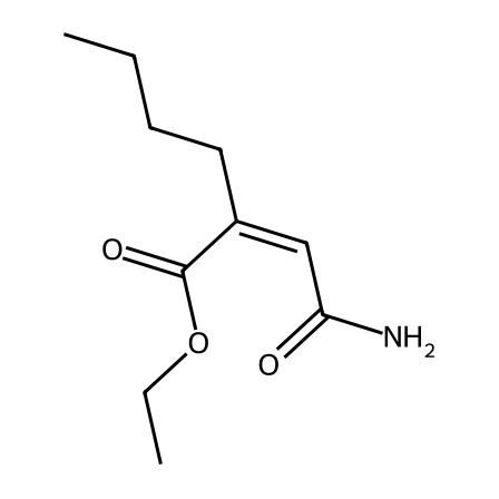 CCCCC(=CC(N)=O)C(=O)OCC